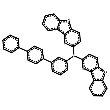 c1ccc(-c2ccc(-c3cccc(N(c4ccc5oc6ccccc6c5n4)c4ccc5oc6ccccc6c5n4)c3)cc2)cc1